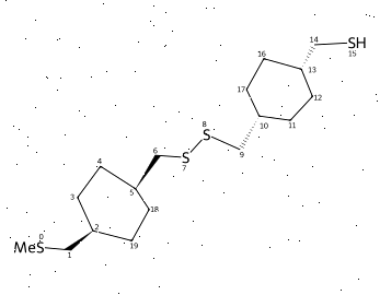 CSC[C@H]1CC[C@@H](CSSC[C@H]2CC[C@@H](CS)CC2)CC1